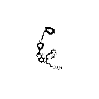 O=C(O)CCCn1cc(Cc2nnn[nH]2)c2c(NC(=O)c3ccc(OCCCCc4ccccc4)cc3)cccc21